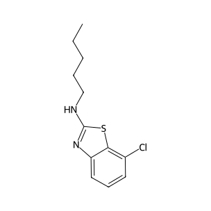 CCCCCNc1nc2cccc(Cl)c2s1